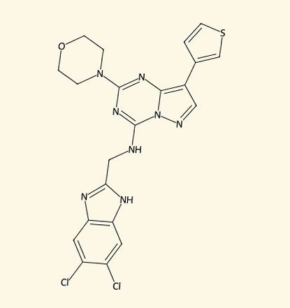 Clc1cc2nc(CNc3nc(N4CCOCC4)nc4c(-c5ccsc5)cnn34)[nH]c2cc1Cl